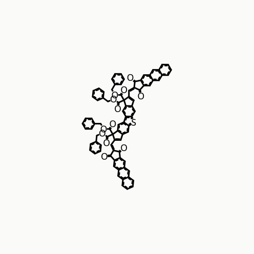 O=C1C(=CC2=Cc3cc4sc5cc6c(cc5c4cc3C2(C(=O)OCc2ccccc2)C(=O)OCc2ccccc2)C(C(=O)OCc2ccccc2)(C(=O)OCc2ccccc2)C(C=C2C(=O)c3cc4cc5ccccc5cc4cc3C2=O)=C6)C(=O)c2cc3cc4ccccc4cc3cc21